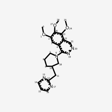 COc1cc2c(N3CCCC(Cc4ncccn4)C3)nncc2c(OC)c1OC